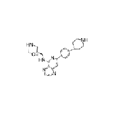 c1cnc2c(NC[C@@H]3CNCCO3)nc(-c3ccc(C4CCNCC4)cc3)cc2n1